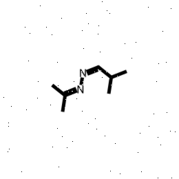 CC(C)=N/N=C\C(C)C